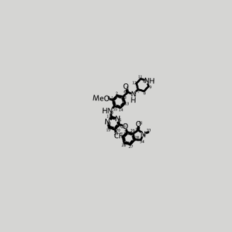 COc1cc(C(=O)NC2CCNCC2)ccc1Nc1ncc(C(F)(F)F)c(Oc2cccc3c2C(=O)N(C)C3)n1